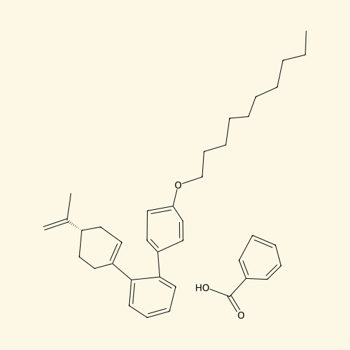 C=C(C)[C@@H]1CC=C(c2ccccc2-c2ccc(OCCCCCCCCCC)cc2)CC1.O=C(O)c1ccccc1